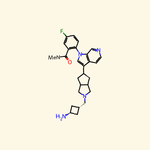 CNC(=O)c1cc(F)ccc1-n1cc(C2CC3CN(C[C@H]4C[C@H](N)C4)CC3C2)c2ccncc21